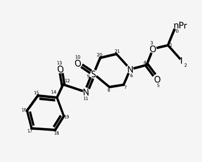 CCCC(I)OC(=O)N1CCS(=O)(=NC(=O)c2ccccc2)CC1